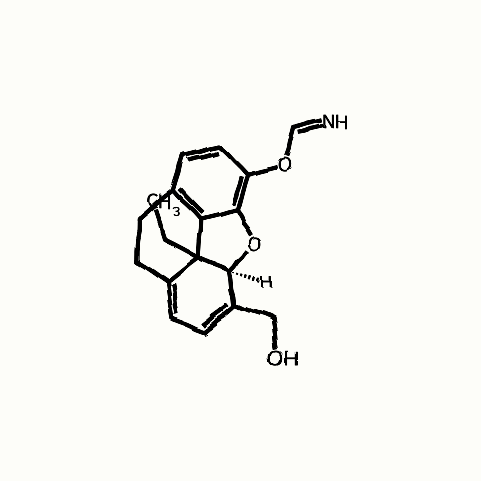 CCC12C3=CC=C(CO)[C@@H]1Oc1c(OC=N)ccc(c12)CC3